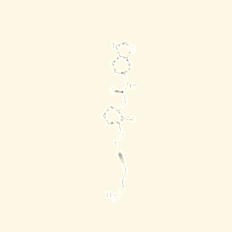 CCCCC#CCOc1cccc(CC(=O)Nc2ccc3ncsc3c2)c1F